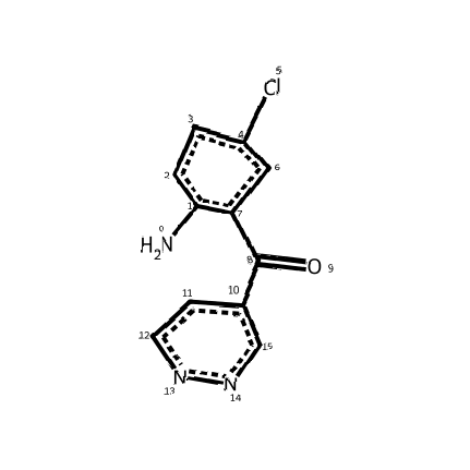 Nc1ccc(Cl)cc1C(=O)c1ccnnc1